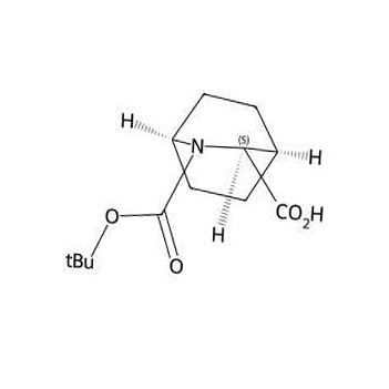 CC(C)(C)OC(=O)N1[C@H]2CC[C@H](CC2)[C@H]1C(=O)O